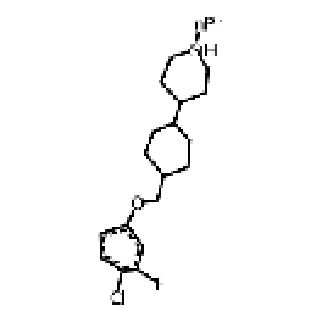 CCC[SiH]1CCC(C2CCC(COc3ccc(Cl)c(F)c3)CC2)CC1